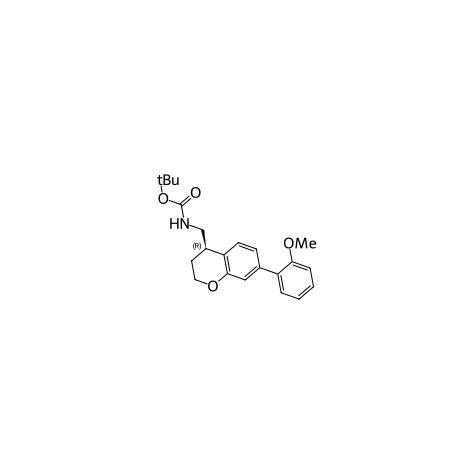 COc1ccccc1-c1ccc2c(c1)OCC[C@H]2CNC(=O)OC(C)(C)C